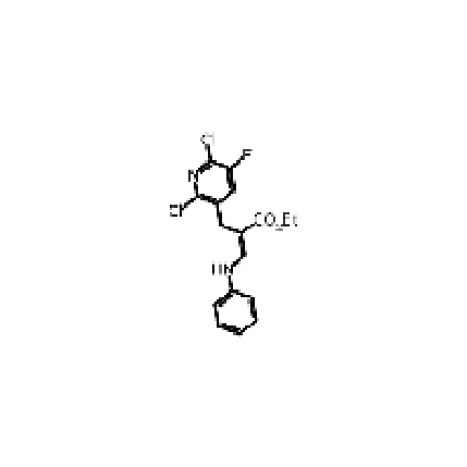 CCOC(=O)C(=CNc1ccccc1)Cc1cc(F)c(Cl)nc1Cl